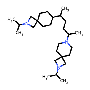 CC(CCC(C)N1CCC2(CC1)CN(C(C)C)C2)C1CCC2(CC1)CN(C(C)C)C2